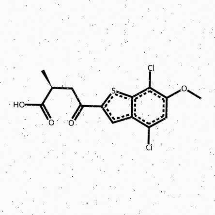 COc1cc(Cl)c2cc(C(=O)C[C@H](C)C(=O)O)sc2c1Cl